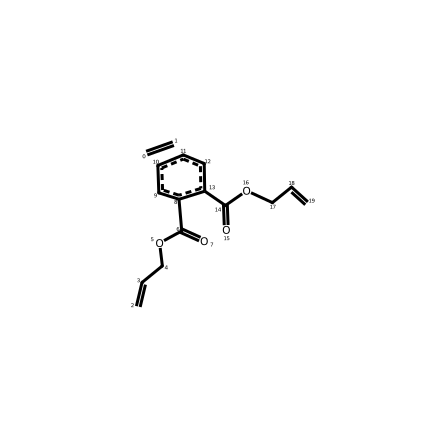 C=C.C=CCOC(=O)c1ccccc1C(=O)OCC=C